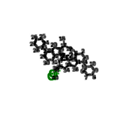 Cc1ccc(-c2ccccc2)c2c1[CH]([Zr+2][CH]1C(C(C)C)=Cc3c(-c4ccccc4)cccc31)C(CC(C)C)=C2.[Cl-].[Cl-]